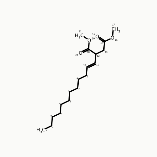 CCCCCCCCCC/C=C/C(CC(=O)OC)C(=O)OC